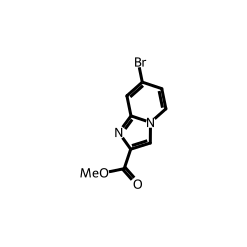 COC(=O)c1cn2ccc(Br)cc2n1